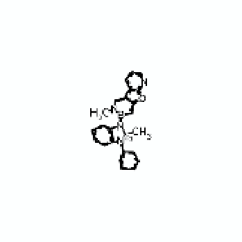 C[C@@H]1N(B2C=c3oc4ncccc4c3=CN2C)c2ccccc2N1c1ccccc1